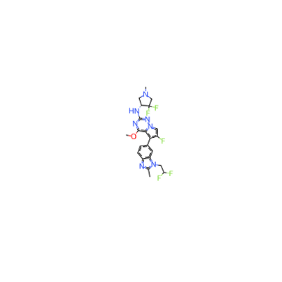 COc1nc(N[C@@H]2CN(C)CC2(F)F)nn2cc(F)c(-c3ccc4nc(C)n(CC(F)F)c4c3)c12